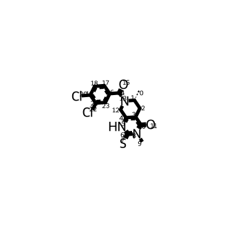 C[C@@H]1Cc2c([nH]c(=S)n(C)c2=O)CN1C(=O)c1ccc(Cl)c(Cl)c1